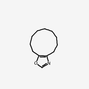 c1nc2c(o1)CCCCCCCCC2